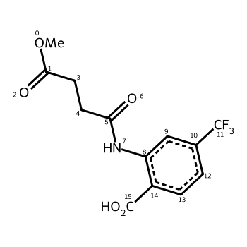 COC(=O)CCC(=O)Nc1cc(C(F)(F)F)ccc1C(=O)O